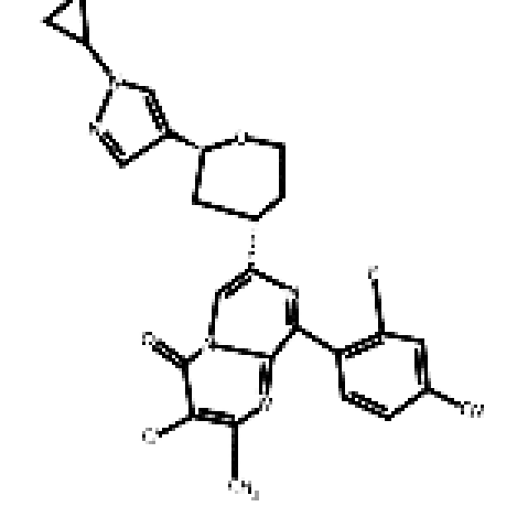 Cc1nc2c(-c3ccc(C#N)cc3F)nc([C@H]3CCO[C@H](c4cnn(C5CC5)c4)C3)cn2c(=O)c1Cl